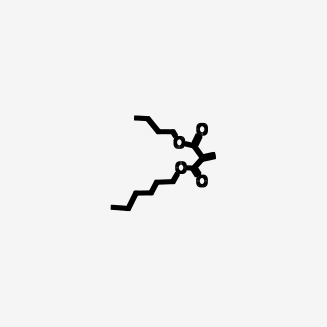 C=C(C(=O)OCCCC)C(=O)OCCCCCC